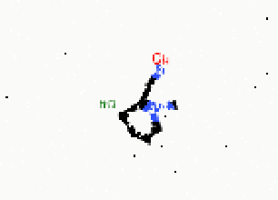 C[n+]1ccccc1C=NO.Cl